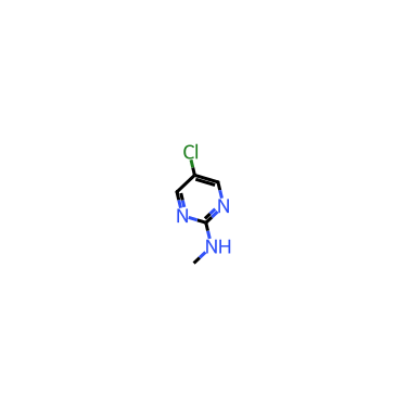 CNc1ncc(Cl)cn1